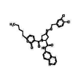 CCCCCc1ccc(C(=O)N2CC(=NOCc3ccc(Cl)c(Cl)c3)C[C@H]2C(=O)Nc2ccc3ncccc3c2)c(=O)o1